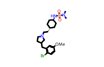 COc1ccc(Br)c(CC2CCN(CC[C@H]3CC[C@H](NS(=O)(=O)N(C)C)CC3)C2)c1